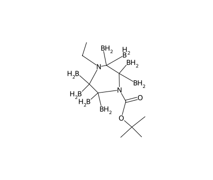 BC1(B)N(CC)C(B)(B)C(B)(B)N(C(=O)OC(C)(C)C)C1(B)B